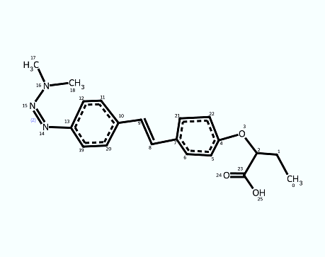 CCC(Oc1ccc(C=Cc2ccc(/N=N\N(C)C)cc2)cc1)C(=O)O